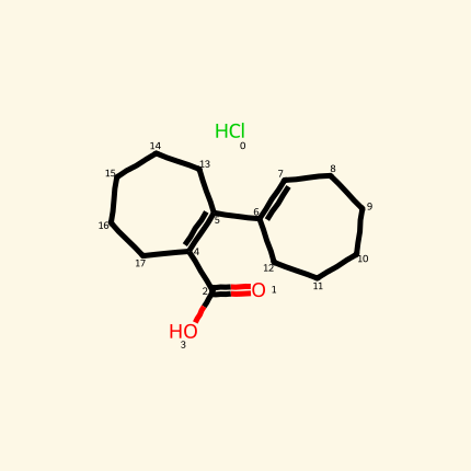 Cl.O=C(O)C1=C(C2=CCCCCC2)CCCCC1